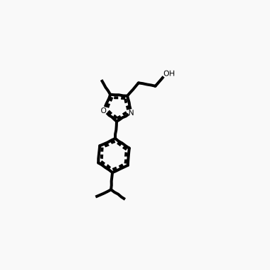 Cc1oc(-c2ccc(C(C)C)cc2)nc1CCO